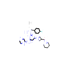 CC(Nc1nc(Nc2cnccn2)cc(N2CC(C(=O)N3CCCCC3)C2)n1)c1ccc(F)cc1